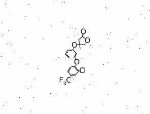 CC1(Oc2cccc(Oc3ccc(C(F)(F)F)cc3Cl)c2)COC(=O)C1